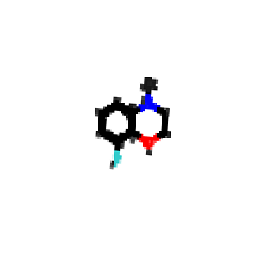 CCN1CCOc2c(F)cccc21